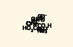 Cc1c(N(C)CS(=O)(=O)[O-])c(=O)n(-c2ccccc2)n1C.N.O=C(O)/C=C\C(=O)O.[Na+]